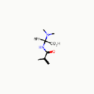 C=C(C)C(=O)NC(CCC)(C(=O)O)N(C)C